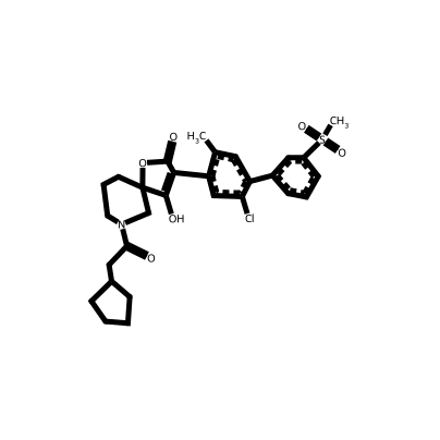 Cc1cc(-c2cccc(S(C)(=O)=O)c2)c(Cl)cc1C1=C(O)C2(CCCN(C(=O)CC3CCCC3)C2)OC1=O